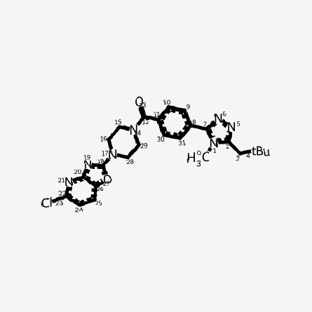 Cn1c(CC(C)(C)C)nnc1-c1ccc(C(=O)N2CCN(c3nc4nc(Cl)ccc4o3)CC2)cc1